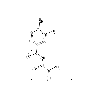 CC(N)C(=O)NC(C)c1ccc(O)c(O)c1